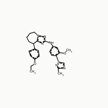 CCOc1ccc(C2CCCCn3nc(Nc4ccc(-n5cnc(C)n5)c(OC)c4)nc32)cc1